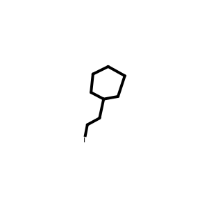 ICC[C]1CCCCC1